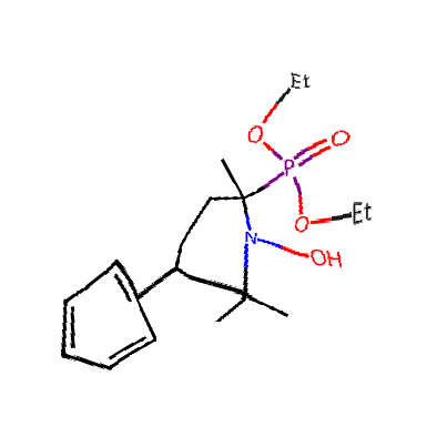 CCOP(=O)(OCC)C1(C)CC(c2ccccc2)C(C)(C)N1O